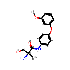 CCOc1cccc(Oc2ccc(NC(=O)C(C)(N)CO)cc2)c1